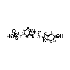 O=S(=O)(O)CCc1ccc2nc(C=Cc3nc4ccc(O)cc4s3)sc2c1